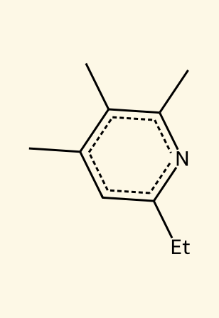 CCc1cc(C)c(C)c(C)n1